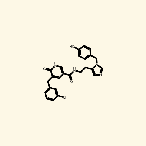 N#Cc1ccc(Cn2cncc2CCNC(=O)c2c[nH]c(=O)c(Cc3cccc(Cl)c3)c2)cc1